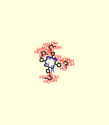 OCC1O[C@@H](Oc2cccc(-c3c4nc(c(-c5cccc(O[C@@H]6OC(CO)[C@@H](O)C(O)[C@@H]6O)c5)c5ccc([nH]5)c(-c5cccc(OC6O[C@H](CO)[C@@H](O)C(O)[C@H]6O)c5)c5nc(c(-c6cccc(O[C@@H]7OC(CO)[C@@H](O)C(O)[C@@H]7O)c6)c6ccc3[nH]6)[C@@H](O)[C@H]5O)C=C4)c2)[C@@H](O)C(O)[C@@H]1O